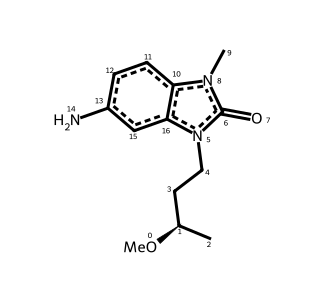 CO[C@H](C)CCn1c(=O)n(C)c2ccc(N)cc21